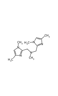 Cc1cn(C)c(CN(C)Cc2nc(C)cn2C)n1